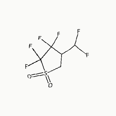 O=S1(=O)CC(C(F)F)C(F)(F)C1(F)F